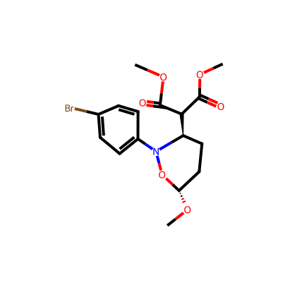 COC(=O)C(C(=O)OC)[C@H]1CC[C@H](OC)ON1c1ccc(Br)cc1